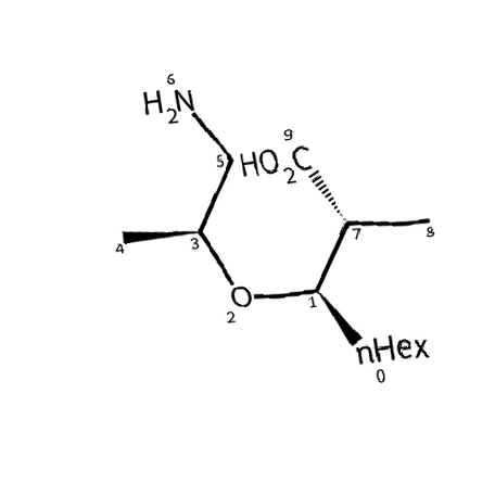 CCCCCC[C@@H](O[C@@H](C)CN)[C@@H](C)C(=O)O